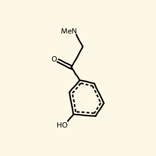 CNCC(=O)c1cccc(O)c1